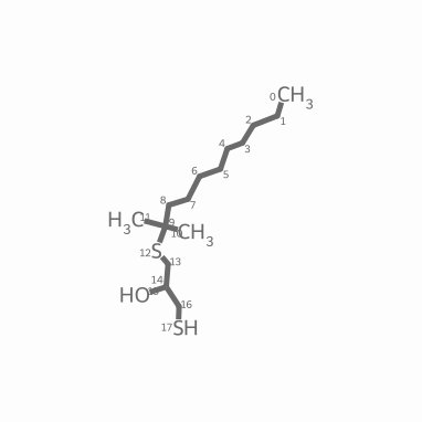 CCCCCCCCCC(C)(C)SCC(O)CS